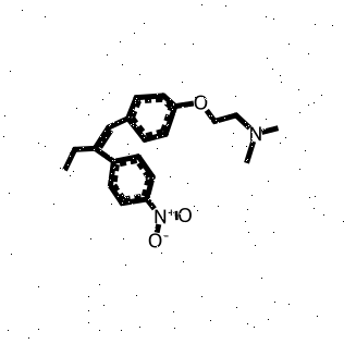 CC/C(=C/c1ccc(OCCN(C)C)cc1)c1ccc([N+](=O)[O-])cc1